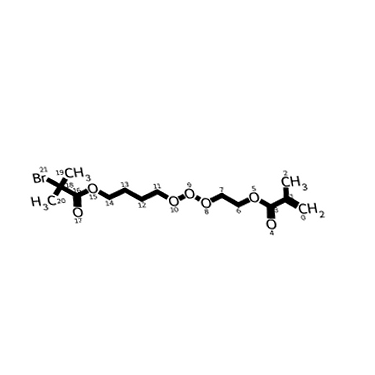 C=C(C)C(=O)OCCOOOCCCCOC(=O)C(C)(C)Br